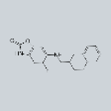 O=c1[nH]c2cc(F)c(NCC3CCc4ccccc4C3)cc2o1